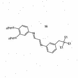 CCCCCc1ccc(N=CC=Nc2cccc(C[Si](CC)(CC)CC)c2)cc1CCCCC.[Ni]